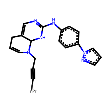 CCCC#CCN1C=CCC2=CN=C(Nc3ccc(-n4cccn4)cc3)NC21